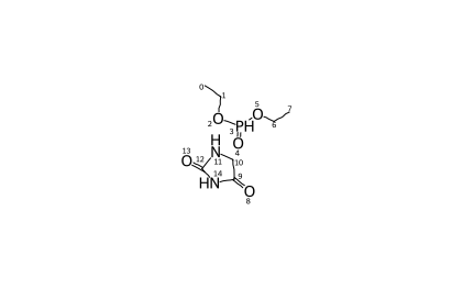 CCO[PH](=O)OCC.O=C1CNC(=O)N1